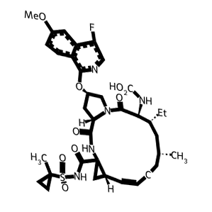 CC[C@@H]1C[C@H](C)CC/C=C\[C@@H]2CC2(C(=O)NS(=O)(=O)C2(C)CC2)NC(=O)[C@@H]2C[C@@H](Oc3ncc(F)c4cc(OC)ccc34)CN2C(=O)[C@H]1NC(=O)O